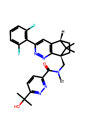 CCN(C[C@@]12CC[C@@H](c3cc(-c4c(F)cccc4F)nnc31)C2(C)C)C(=O)c1ccc(C(C)(C)O)nn1